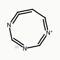 C1=CC=[N+]=C/N=C\N=1